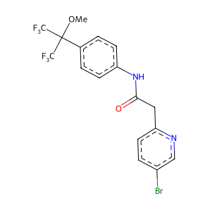 COC(c1ccc(NC(=O)Cc2ccc(Br)cn2)cc1)(C(F)(F)F)C(F)(F)F